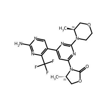 C[C@H]1COCCN1c1nc(-c2cnc(N)nc2C(F)(F)F)cc(N2C(=O)OC[C@@H]2C)n1